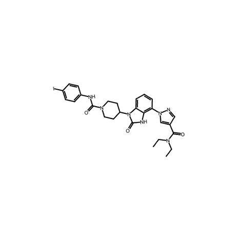 CCN(CC)C(=O)c1cnn(-c2cccc3c2[nH]c(=O)n3C2CCN(C(=O)Nc3ccc(I)cc3)CC2)c1